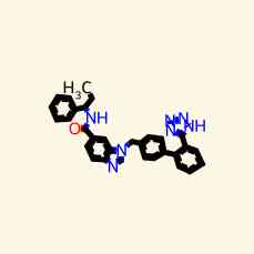 CCC(NC(=O)c1ccc2ncn(Cc3ccc(-c4ccccc4-c4nnn[nH]4)cc3)c2c1)c1ccccc1